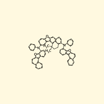 CC1(C)CCc2c(N(c3ccccc3)c3cccc4c3oc3ccc5ccccc5c34)ccc3cc4oc5ccc(N(c6ccccc6)c6cccc7c6oc6ccc8ccccc8c67)cc5c4c1c23